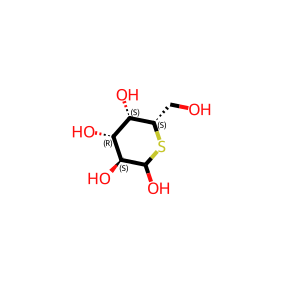 OC[C@@H]1SC(O)[C@@H](O)[C@H](O)[C@@H]1O